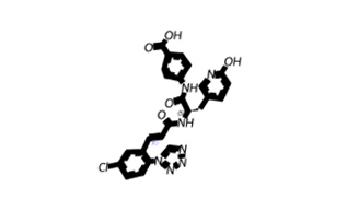 O=C(/C=C/c1cc(Cl)ccc1-n1cnnn1)N[C@@H](Cc1ccc(O)nc1)C(=O)Nc1ccc(C(=O)O)cc1